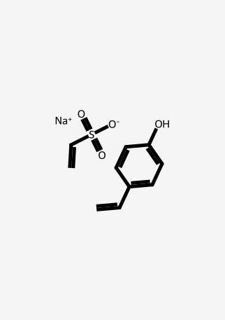 C=CS(=O)(=O)[O-].C=Cc1ccc(O)cc1.[Na+]